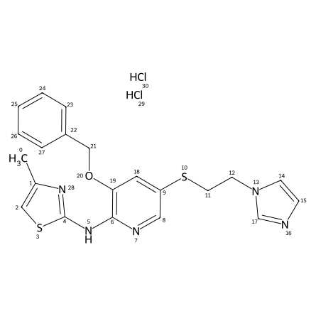 Cc1csc(Nc2ncc(SCCn3ccnc3)cc2OCc2ccccc2)n1.Cl.Cl